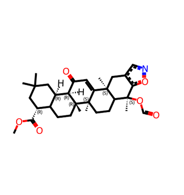 COC(=O)[C@@H]1CC(C)(C)C[C@@H]2C1CC[C@]1(C)[C@@H]2C(=O)C=C2[C@@]3(C)Cc4cnoc4[C@@](C)(OC=O)C3CC[C@]21C